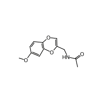 COc1ccc2c(c1)OC(CNC(C)=O)=CO2